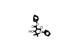 CC(C)(C)C(O)C(C(=O)OC1CC2C=CC1C2)C(=O)OC1CC2C=CC1C2